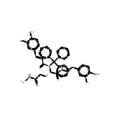 CNC(=O)CC[C@@H](C(=O)NCCc1ccc(O)c(O)c1)N(C(=O)C=Cc1ccc(O)c(O)c1)C(c1ccccc1)(c1ccccc1)c1ccccc1